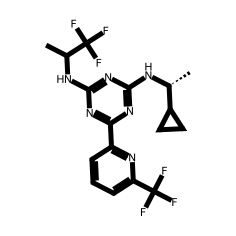 CC(Nc1nc(N[C@H](C)C2CC2)nc(-c2cccc(C(F)(F)F)n2)n1)C(F)(F)F